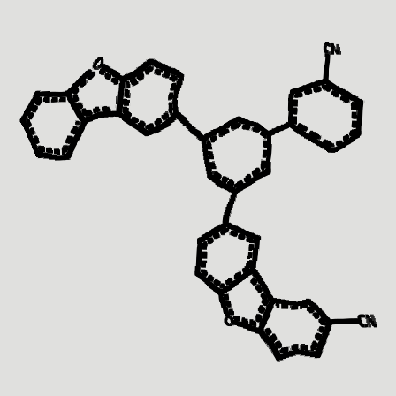 N#Cc1cccc(-c2cc(-c3ccc4oc5ccccc5c4c3)cc(-c3ccc4oc5ccc(C#N)cc5c4c3)c2)c1